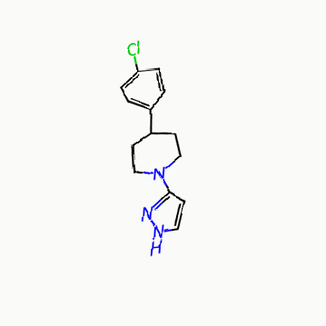 Clc1ccc(C2CCN(c3cc[nH]n3)CC2)cc1